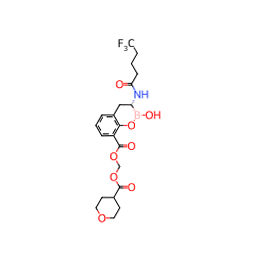 O=C(CCCC(F)(F)F)N[C@H]1Cc2cccc(C(=O)OCOC(=O)C3CCOCC3)c2OB1O